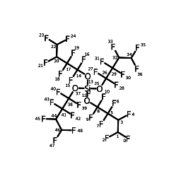 FC(F)C(F)C(F)(F)C(F)(F)O[Si](OC(F)(F)C(F)(F)C(F)C(F)F)(OC(F)(F)C(F)(F)C(F)C(F)F)OC(F)(F)C(F)(F)C(F)C(F)F